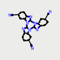 N#Cc1ccc2nc3n(c2c1)c1nc2ccc(C#N)cc2n1c1nc2ccc(C#N)cc2n31